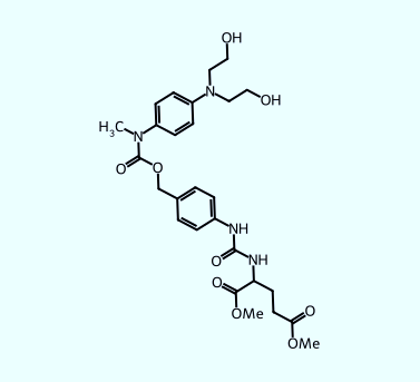 COC(=O)CCC(NC(=O)Nc1ccc(COC(=O)N(C)c2ccc(N(CCO)CCO)cc2)cc1)C(=O)OC